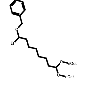 CCCCCCCCOC(CCCCCCC(CC)OCc1ccccc1)OCCCCCCCC